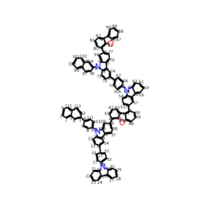 c1ccc2cc(-c3ccc(-n4c5ccc(-c6ccc(-n7c8ccccc8c8ccccc87)cc6)cc5c5ccc(-c6cccc7c6oc6cccc(-c8ccc9c(c8)c8ccccc8n9-c8ccc(-c9ccc%10c(c9)c9ccc(-c%11cccc%12c%11oc%11ccccc%11%12)cc9n%10-c9ccc%10ccccc%10c9)cc8)c67)cc54)cc3)ccc2c1